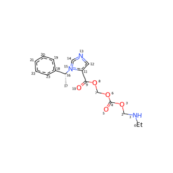 CCNCOC(=O)OCOC(=O)c1cncn1[C@H](C)c1ccccc1